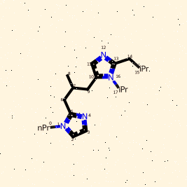 CCCn1ccnc1CC(C)Cc1cnc(CC(C)C)n1C(C)C